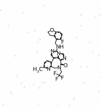 Cc1ccc2c(n1)CN(CC(F)(F)F)C(=O)c1ncn3c(NCc4c(F)ccc5c4CCO5)ncc-2c13